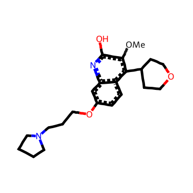 COc1c(O)nc2cc(OCCCN3CCCC3)ccc2c1C1CCOCC1